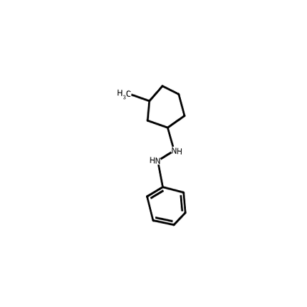 CC1CCCC(NNc2ccccc2)C1